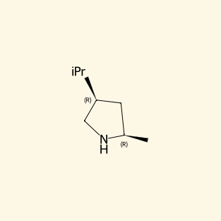 CC(C)[C@@H]1CN[C@H](C)C1